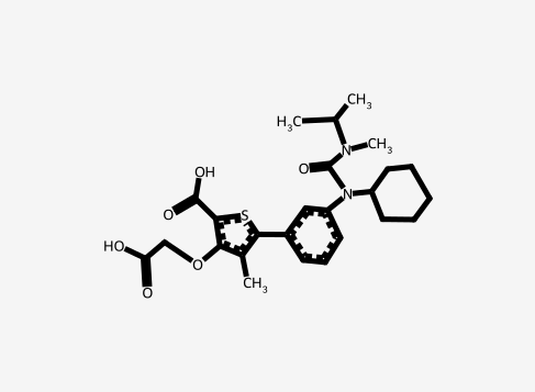 Cc1c(-c2cccc(N(C(=O)N(C)C(C)C)C3CCCCC3)c2)sc(C(=O)O)c1OCC(=O)O